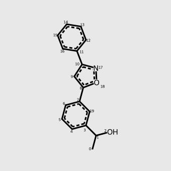 CC(O)c1cccc(-c2cc(-c3ccccc3)no2)c1